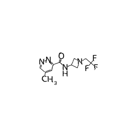 Cc1cnnc(C(=O)NC2CN(CC(F)(F)F)C2)c1